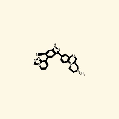 CN1CCN2c3ccc(-c4n[nH]c5cc(C#N)c(-c6cccn7cnnc67)cc45)cc3OCC2C1